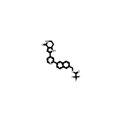 O=C1NCCc2[nH]c(-c3ccnc(-c4ccc5cc(COC(=O)C(F)(F)F)ccc5c4)c3)cc21